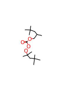 CC(COC(=O)OOC(C)(C)CC(C)(C)C)CC(C)(C)C